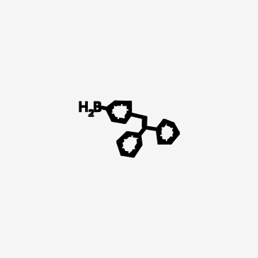 Bc1ccc(C=C(c2ccccc2)c2ccccc2)cc1